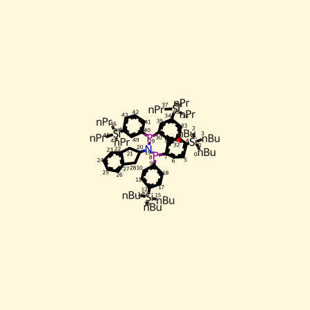 CCCC[Si](CCCC)(CCCC)c1ccc(P(c2ccc([Si](CCCC)(CCCC)CCCC)cc2)N(C2Cc3ccccc3C2)P(c2cccc([Si](CCC)(CCC)CCC)c2)c2cccc([Si](CCC)(CCC)CCC)c2)cc1